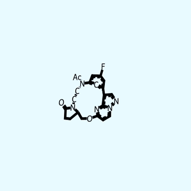 CC(=O)N1CCN2C(=O)CCC2COc2ccn3ncc(c3n2)-c2cc(F)cc1c2